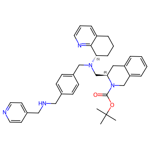 CC(C)(C)OC(=O)N1Cc2ccccc2C[C@@H]1CN(Cc1ccc(CNCc2ccncc2)cc1)[C@H]1CCCc2cccnc21